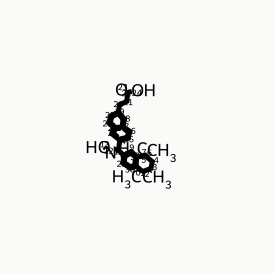 CC1(C)CCC(C)(C)c2cc(C(=NO)c3ccc4cc(CCC(=O)O)ccc4c3)ccc21